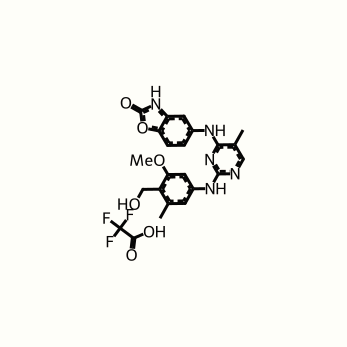 COc1cc(Nc2ncc(C)c(Nc3ccc4oc(=O)[nH]c4c3)n2)cc(C)c1CO.O=C(O)C(F)(F)F